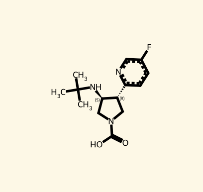 CC(C)(C)N[C@@H]1CN(C(=O)O)C[C@H]1c1ccc(F)cn1